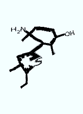 CCc1sc(C2C(C)=C(O)C=CC2(C)N)cc1C